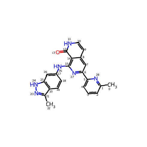 Cc1cccc(-c2cc3cc[nH]c(=O)c3c(Nc3ccc4c(C)n[nH]c4c3)n2)n1